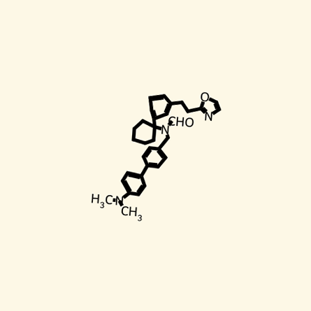 CN(C)c1ccc(-c2ccc(CN(C=O)C3(c4cccc(CCc5ncco5)c4)CCCCC3)cc2)cc1